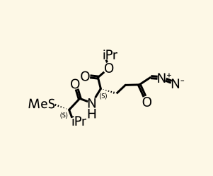 CS[C@H](C(=O)N[C@@H](CCC(=O)C=[N+]=[N-])C(=O)OC(C)C)C(C)C